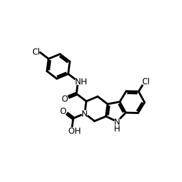 O=C(Nc1ccc(Cl)cc1)C1Cc2c([nH]c3ccc(Cl)cc23)CN1C(=O)O